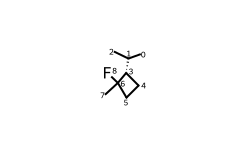 CC(C)[C@@H]1CCC1(C)F